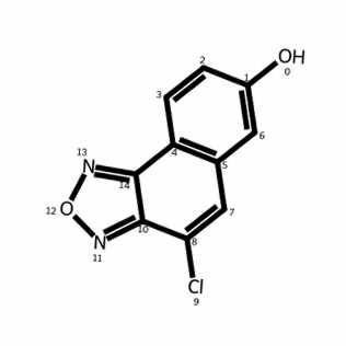 Oc1ccc2c(c1)cc(Cl)c1nonc12